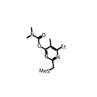 CCc1nc(CSC)nc(OC(=O)N(C)C)c1C